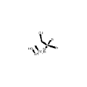 CCCO.CCOC(C)=O.CC[N+](CC)(CC)CO